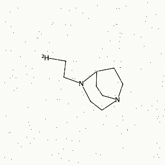 [2H]CCN1CCN2CCC1CC2